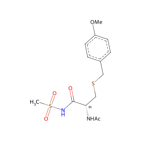 COc1ccc(CSC[C@H](NC(C)=O)C(=O)NS(C)(=O)=O)cc1